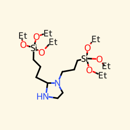 CCO[Si](CCCC1NCCN1CCC[Si](OCC)(OCC)OCC)(OCC)OCC